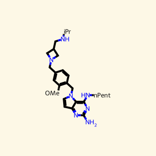 CCCCCNc1nc(N)nc2ccn(Cc3ccc(CN4CC(CNC(C)C)C4)cc3OC)c12